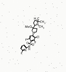 COC1(C2CCC(C)(C)N2C)CCN(c2cc(F)c(S(=O)(=O)Nc3cccc(F)n3)c(F)c2Cl)C1